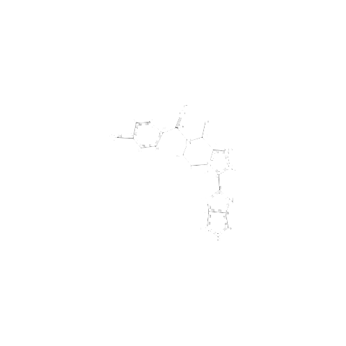 CC1c2nnc(-c3nc4ccsc4s3)n2CCN1C(=O)c1ccc(Cl)cc1